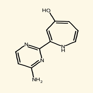 Nc1ccnc(C2=CC(O)=CC=CN2)n1